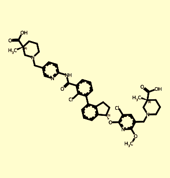 COc1nc(O[C@H]2CCc3c(-c4cccc(C(=O)Nc5ccc(CN6CCC[C@@](C)(C(=O)O)C6)cn5)c4Cl)cccc32)c(Cl)cc1CN1CCC[C@@](C)(C(=O)O)C1